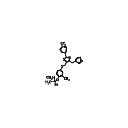 CCC(C)(Oc1ccc(SCc2sc(-c3ccc(C(F)(F)F)cc3)nc2Cc2ccoc2)cc1C)C(=O)O